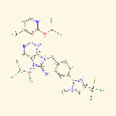 Cc1ccnc(OC(F)F)c1-c1ncc2c(n1)n(Cc1ccc(-c3nc(C(F)(F)F)cn3C)cc1)c(=N)n2C(F)C(F)F